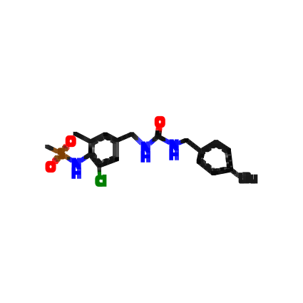 Cc1cc(CNC(=O)NCc2ccc(C(C)(C)C)cc2)cc(Cl)c1NS(C)(=O)=O